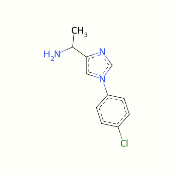 CC(N)c1cn(-c2ccc(Cl)cc2)cn1